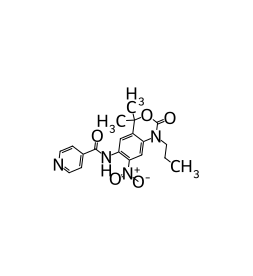 CCCN1C(=O)OC(C)(C)c2cc(NC(=O)c3ccncc3)c([N+](=O)[O-])cc21